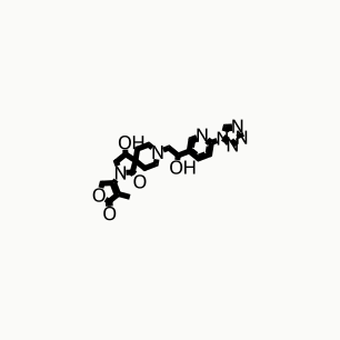 CC1=C(N2CC(O)C3(CCN(CC(O)c4ccc(-n5cnnn5)nc4)CC3)C2=O)COC1=O